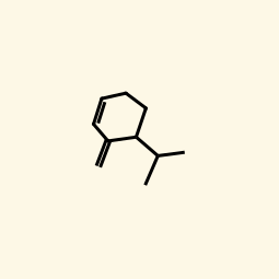 C=C1C=CCCC1C(C)C